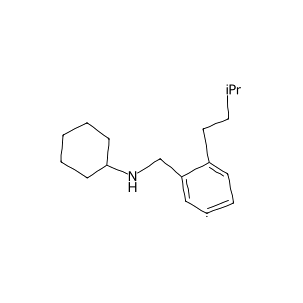 CC(C)CCc1cc[c]cc1CNC1CCCCC1